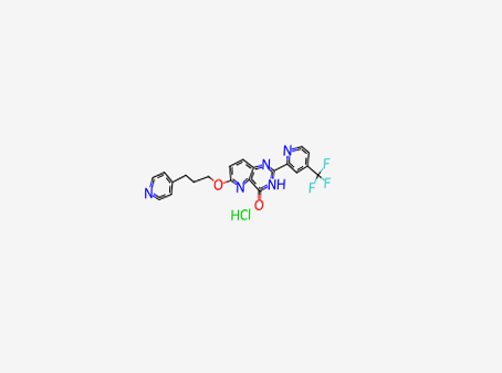 Cl.O=c1[nH]c(-c2cc(C(F)(F)F)ccn2)nc2ccc(OCCCc3ccncc3)nc12